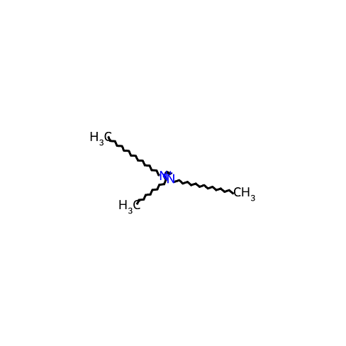 CCCCCCCCCCCCCCCCn1cc[n+](CCCCCCCCCCCCCCCC)c1CCCCCCCCC